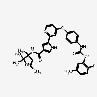 CCCC(C)(NC(=O)c1c[nH]c(-c2cc(Oc3ccc(NC(=O)Nc4cc(C)ccc4F)cc3)ccn2)c1)C(C)(O)O